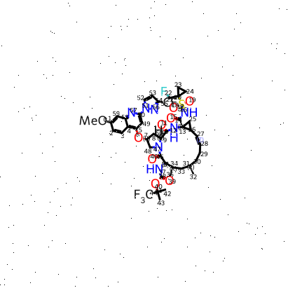 COc1ccc2c(O[C@@H]3C[C@H]4C(=O)N[C@]5(C(=O)NS(=O)(=O)C6(CF)CC6)CC5/C=C\CC[C@@H](C)C[C@@H](C)[C@H](NC(=O)OC(C)(C)C(F)(F)F)C(=O)N4C3)cc(-n3ccc(C(F)(F)F)n3)nc2c1